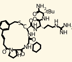 CC(C)(C)[C@H](NC(=O)[C@H](CCCNC(=N)N)NC(=O)[C@@H]1CSCc2cccc(c2)/C=C/CC(=O)N2CCC[C@H]2C(=O)N[C@@H](C2CCCCC2)C(=O)N1)C(N)=O